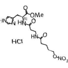 COC(=O)[C@H](Cc1c[nH]cn1)NC(=O)CCNC(=O)CCCCO[N+](=O)[O-].Cl